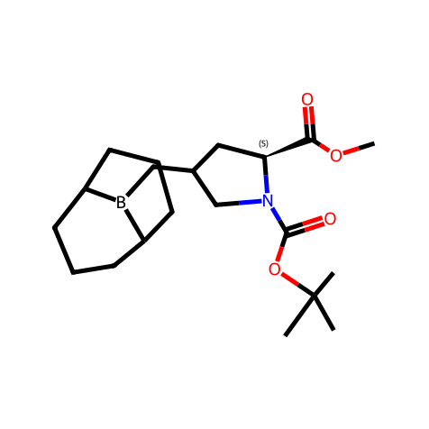 COC(=O)[C@@H]1CC(CB2C3CCCC2CCC3)CN1C(=O)OC(C)(C)C